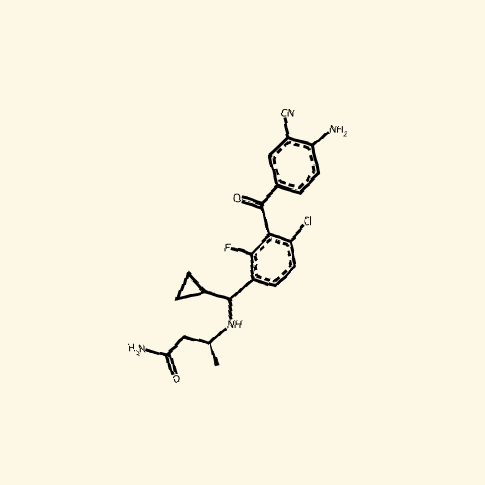 C[C@@H](CC(N)=O)NC(c1ccc(Cl)c(C(=O)c2ccc(N)c(C#N)c2)c1F)C1CC1